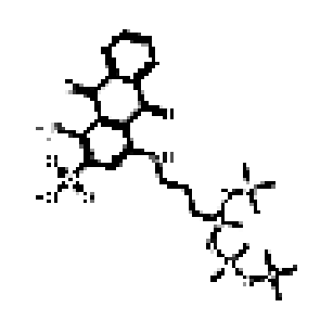 C[Si](C)(C)O[Si](C)(C)O[Si](C)(CCCNc1cc(S(=O)(=O)O)c(N)c2c1C(=O)c1ccccc1C2=O)O[Si](C)(C)C